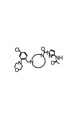 CC(=O)Nc1ccn(C(=O)N2CCCCCCN(Cc3ccc(Cl)cc3N3CCOCC3)CCC2)n1